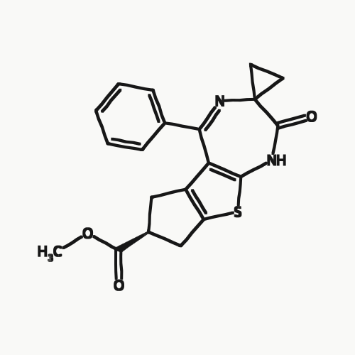 COC(=O)[C@@H]1Cc2sc3c(c2C1)C(c1ccccc1)=NC1(CC1)C(=O)N3